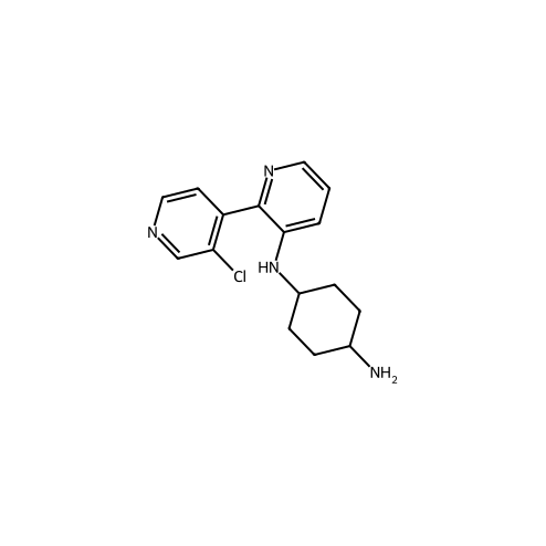 NC1CCC(Nc2cccnc2-c2ccncc2Cl)CC1